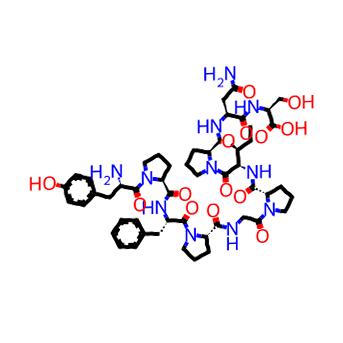 CC[C@H](C)[C@H](NC(=O)[C@@H]1CCCN1C(=O)CNC(=O)[C@@H]1CCCN1C(=O)[C@H](Cc1ccccc1)NC(=O)[C@@H]1CCCN1C(=O)[C@@H](N)Cc1ccc(O)cc1)C(=O)N1CCC[C@H]1C(=O)N[C@@H](CC(N)=O)C(=O)N[C@@H](CO)C(=O)O